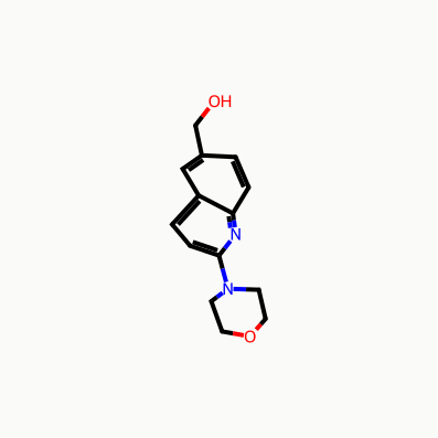 OCc1ccc2nc(N3CCOCC3)ccc2c1